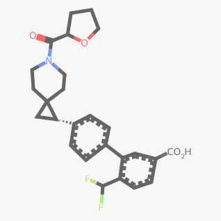 O=C(O)c1ccc(C(F)F)c(-c2ccc([C@@H]3CC34CCN(C(=O)C3CCCO3)CC4)cc2)c1